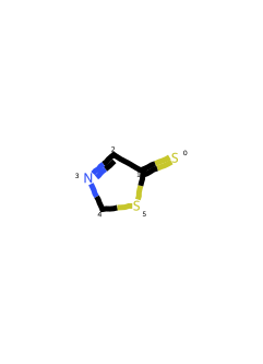 S=C1C=NCS1